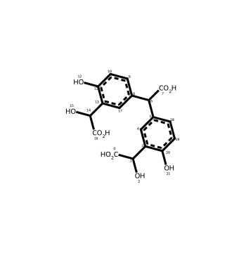 O=C(O)C(O)c1cc(C(C(=O)O)c2ccc(O)c(C(O)C(=O)O)c2)ccc1O